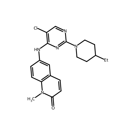 CCC1CCN(c2ncc(Cl)c(Nc3ccc4c(ccc(=O)n4C)c3)n2)CC1